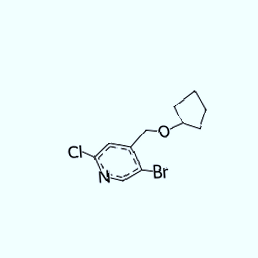 Clc1cc(COC2CCCC2)c(Br)cn1